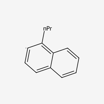 CCCc1[c]ccc2ccccc12